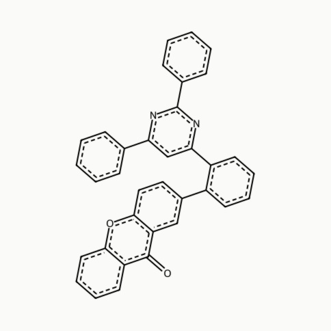 O=c1c2ccccc2oc2ccc(-c3ccccc3-c3cc(-c4ccccc4)nc(-c4ccccc4)n3)cc12